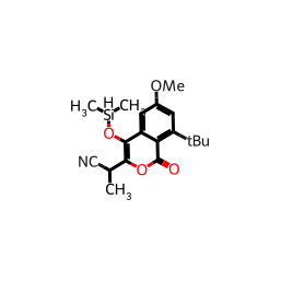 COc1cc(C(C)(C)C)c2c(=O)oc(C(C)C#N)c(O[SiH](C)C)c2c1